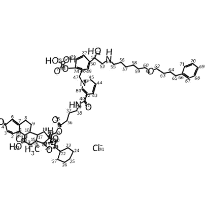 C[C@]12C=CC(=O)C=C1CCC1C2[C@@H](O)C[C@@]2(C)C1C[C@@H]1O[C@@H](C3CCCCC3)O[C@]12C(=O)COC(=O)CCCNC(=O)c1ccc[n+](Cc2cc(C(O)CNCCCCCCOCCCCc3ccccc3)ccc2OP(=O)(O)O)c1.[Cl-]